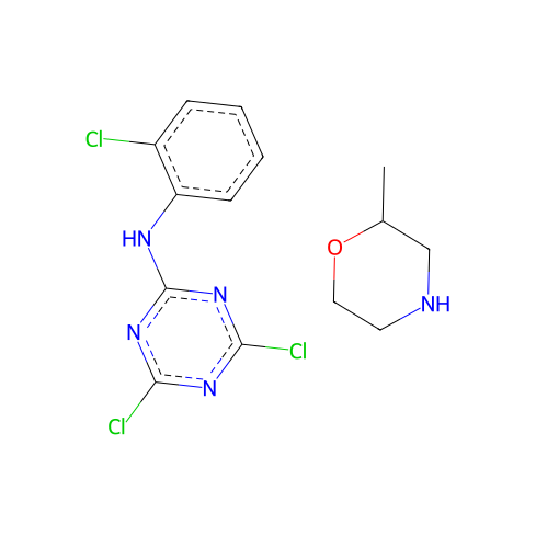 CC1CNCCO1.Clc1nc(Cl)nc(Nc2ccccc2Cl)n1